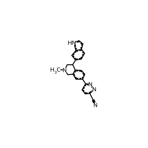 CN1Cc2cc(-c3ccc(C#N)nn3)ccc2C(c2ccc3cc[nH]c3c2)C1